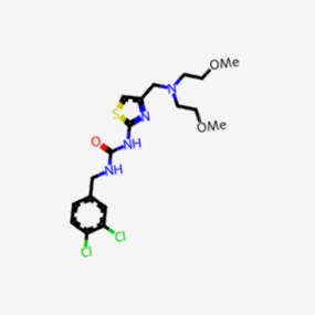 COCCN(CCOC)Cc1csc(NC(=O)NCc2ccc(Cl)c(Cl)c2)n1